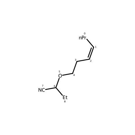 CCC/C=C\CCOC(C#N)CC